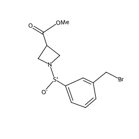 COC(=O)C1CN([S+]([O-])c2cccc(CBr)c2)C1